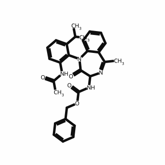 CC(=O)Nc1cccc(C(C)C)c1N1C(=O)C(NC(=O)OCc2ccccc2)N=C(C)c2ccccc21